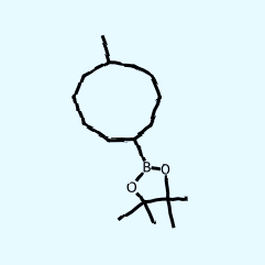 CC1CCCCC(B2OC(C)(C)C(C)(C)O2)CCCC1